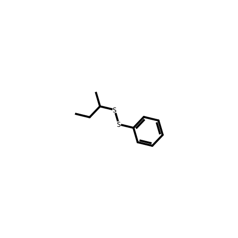 CCC(C)SSc1ccccc1